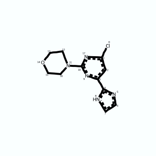 Clc1cc(-c2ncc[nH]2)nc(N2CCOCC2)n1